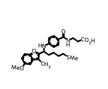 COc1ccc2oc(C(CCCCSC)Nc3ccc(C(=O)NCCC(=O)O)cc3)c(C)c2c1